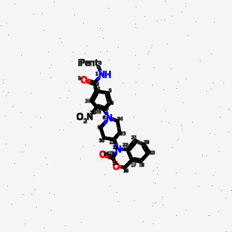 CCCC(C)NC(=O)c1ccc(N2CCC(N3C(=O)OCc4ccccc43)CC2)c([N+](=O)[O-])c1